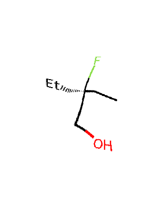 CC[C@@](C)(F)CO